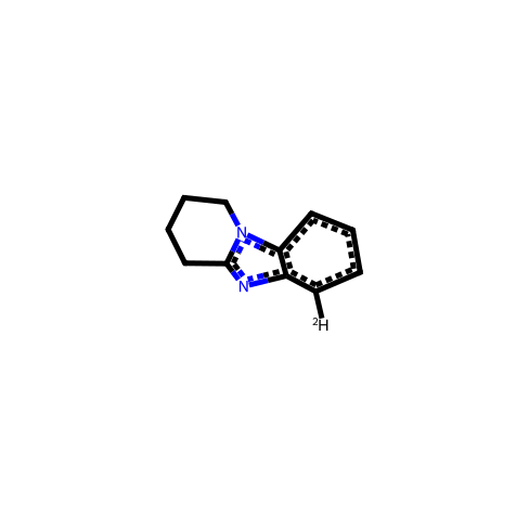 [2H]c1cccc2c1nc1n2CCCC1